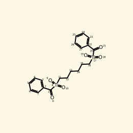 O=[C](c1ccccc1)[Ti](=[O])(=[O])[CH2]CCCC[CH2][Ti](=[O])(=[O])[C](=O)c1ccccc1